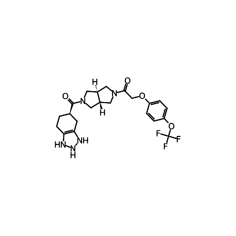 O=C(COc1ccc(OC(F)(F)F)cc1)N1C[C@@H]2CN(C(=O)[C@@H]3CCC4=C(C3)NNN4)C[C@H]2C1